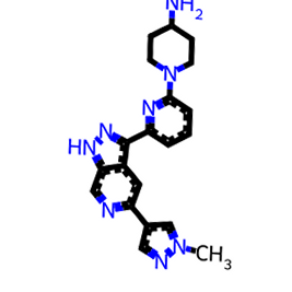 Cn1cc(-c2cc3c(-c4cccc(N5CCC(N)CC5)n4)n[nH]c3cn2)cn1